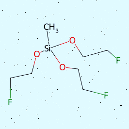 C[Si](OCCF)(OCCF)OCCF